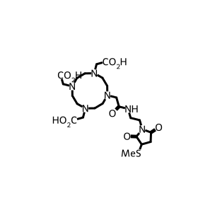 CSC1CC(=O)N(CCNC(=O)CN2CCN(CC(=O)O)CCN(CC(=O)O)CCN(CC(=O)O)CC2)C1=O